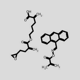 C=C(C)C(=O)ON=Cc1c2ccccc2cc2ccccc12.C=C(CCCCOC(=O)C(=C)CCC1CO1)C(=O)O